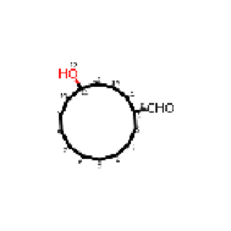 O=CC1CCCCCCCCCC(O)CCC1